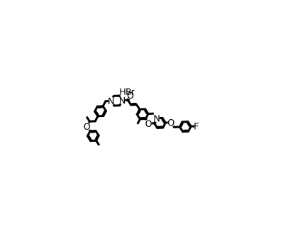 Br.Cc1ccc(OC(C)Cc2ccc(CN3CCN(C(=O)/C=C/c4cc(C)c(Oc5ccc(OCc6ccc(F)cc6)cn5)c(C)c4)CC3)cc2)cc1